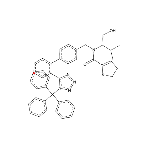 CC(C)[C@@H](CO)N(Cc1ccc(-c2ccccc2-c2nnnn2C(c2ccccc2)(c2ccccc2)c2ccccc2)cc1)C(=O)C1=CCCS1